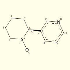 [O-][S+]1CCCC[C@H]1c1cccnc1